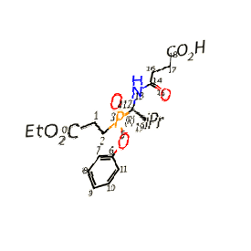 CCOC(=O)CCP(=O)(Oc1ccccc1)[C@@H](NC(=O)CCC(=O)O)C(C)C